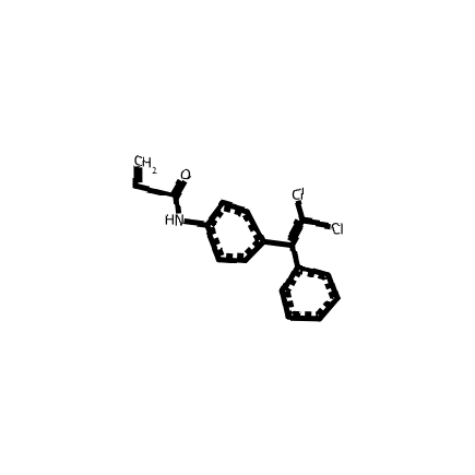 C=CC(=O)Nc1ccc(C(=C(Cl)Cl)c2ccccc2)cc1